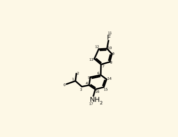 CC(C)Cc1cc(-c2ccc(F)cc2)ccc1N